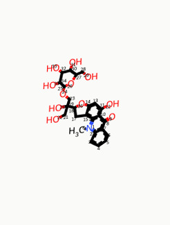 Cn1c2ccccc2c(=O)c2c(O)cc3c(c21)CC(C(O)(CO)COC1OC(CO)C(O)C(O)C1O)O3